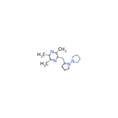 Cc1nc(C)c(Cc2cccn2N2CCCC2)nc1C